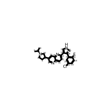 CC(C)N1CCC(c2cnc3ccc(-c4c[nH]nc4-c4cc(Cl)ccc4F)nc3c2)C1